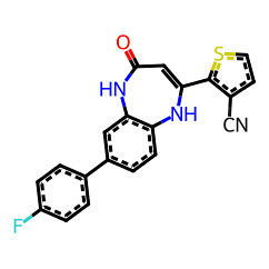 N#Cc1ccsc1C1=CC(=O)Nc2cc(-c3ccc(F)cc3)ccc2N1